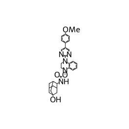 COc1ccc(-c2cnc(N3CCN(OC(=O)NC4C5CC6CC4CC(O)(C6)C5)c4ccccc43)nc2)cc1